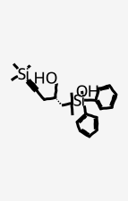 CC(C)(C[C@@H](CO)CC#C[Si](C)(C)C)[Si](O)(c1ccccc1)c1ccccc1